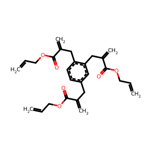 C=CCOC(=O)C(=C)Cc1ccc(CC(=C)C(=O)OCC=C)c(CC(=C)C(=O)OCC=C)c1